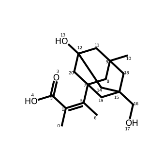 CC(C(=O)O)=C(C)C12CC3(C)CC(O)(CC(CO)(C3)C1)C2